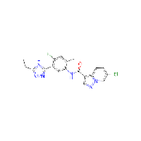 CCc1nnc(-c2cc(NC(=O)c3cnn4cc(Cl)ccc34)c(C)cc2F)[nH]1